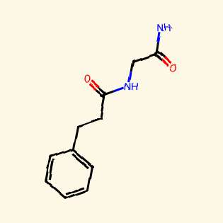 [NH]C(=O)CNC(=O)CCc1ccccc1